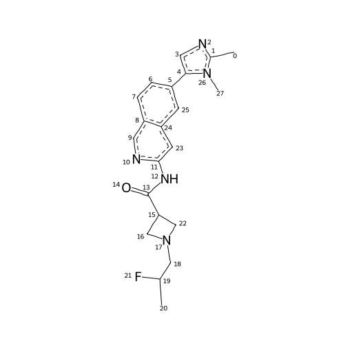 Cc1ncc(-c2ccc3cnc(NC(=O)C4CN(CC(C)F)C4)cc3c2)n1C